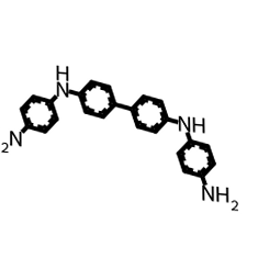 Nc1ccc(Nc2ccc(-c3ccc(Nc4ccc(N)cc4)cc3)cc2)cc1